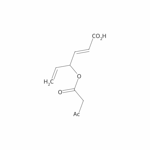 C=CC(C=CC(=O)O)OC(=O)CC(C)=O